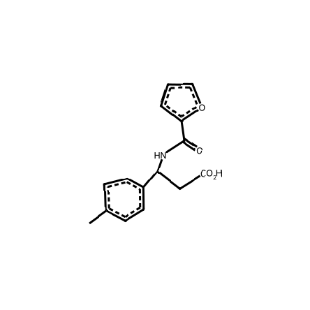 Cc1ccc(C(CC(=O)O)NC(=O)c2ccco2)cc1